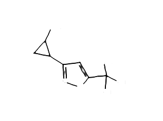 CC1CC1c1cc(C(C)(C)C)on1